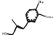 COc1cc(/C=C(\C)CO)ccc1O